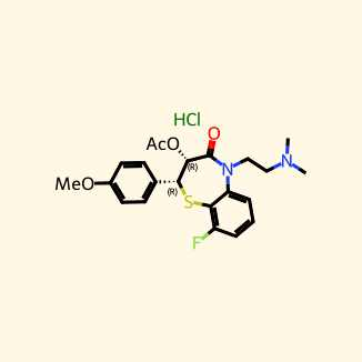 COc1ccc([C@H]2Sc3c(F)cccc3N(CCN(C)C)C(=O)[C@H]2OC(C)=O)cc1.Cl